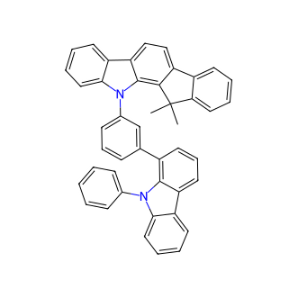 CC1(C)c2ccccc2-c2ccc3c4ccccc4n(-c4cccc(-c5cccc6c7ccccc7n(-c7ccccc7)c56)c4)c3c21